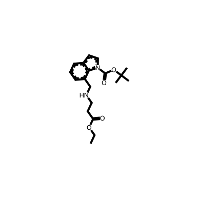 CCOC(=O)CCNCc1cccc2ccn(C(=O)OC(C)(C)C)c12